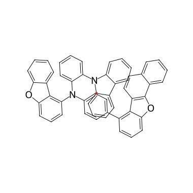 c1ccc(-n2c3ccccc3c3ccccc32)c(N(c2ccc(-c3cccc4oc5c6ccccc6ccc5c34)cc2)c2cccc3oc4ccccc4c23)c1